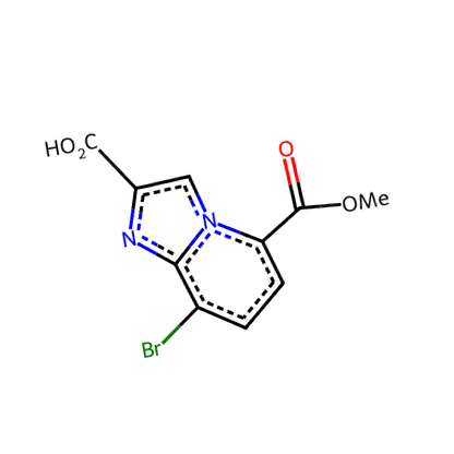 COC(=O)c1ccc(Br)c2nc(C(=O)O)cn12